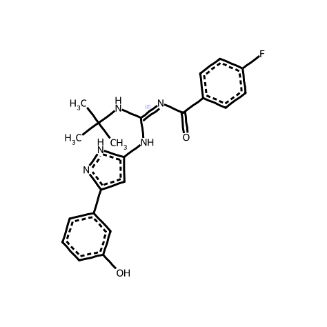 CC(C)(C)N/C(=N/C(=O)c1ccc(F)cc1)Nc1cc(-c2cccc(O)c2)n[nH]1